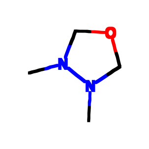 CN1COCN1C